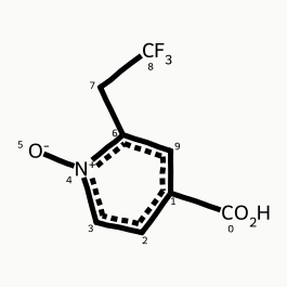 O=C(O)c1cc[n+]([O-])c(CC(F)(F)F)c1